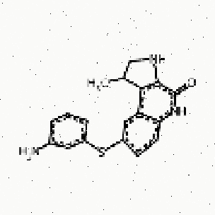 CC1CNc2c1c1cc(Sc3cccc(N)c3)ccc1[nH]c2=O